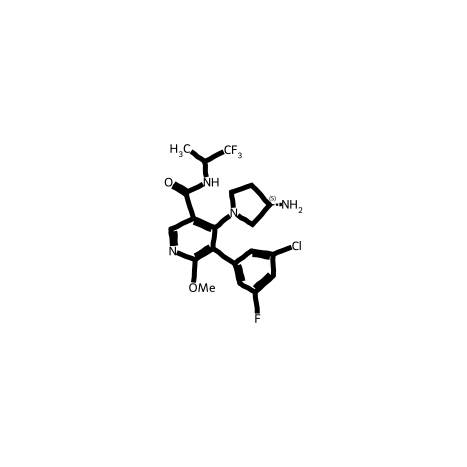 COc1ncc(C(=O)NC(C)C(F)(F)F)c(N2CC[C@H](N)C2)c1-c1cc(F)cc(Cl)c1